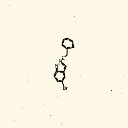 Brc1ccc2nn(CCc3ccccc3)cc2c1